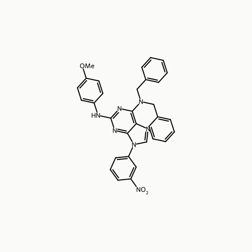 COc1ccc(Nc2nc(N(Cc3ccccc3)Cc3ccccc3)c3ncn(-c4cccc([N+](=O)[O-])c4)c3n2)cc1